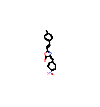 Cc1ccc(/C=C/C2=NC(=Cc3ccc([N+](=O)[O-])cc3)C(=O)O2)cc1